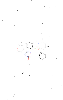 C[C@H]1CC[C@H](c2ccccc2)S(=O)(=O)N1Cc1ccc(C2(c3noc(=O)[nH]3)CCOCC2)cc1F